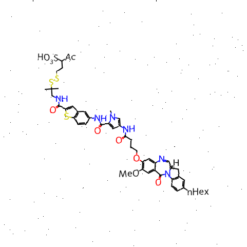 CCCCCCc1ccc2c(c1)C[C@H]1C=Nc3cc(OCCCC(=O)Nc4cc(C(=O)Nc5ccc6sc(C(=O)NCC(C)(C)SSCCC(C(C)=O)S(=O)(=O)O)cc6c5)n(C)c4)c(OC)cc3C(=O)N21